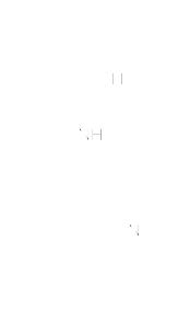 C=Cc1ccc(SC2C=NC=CC2)[nH]1